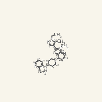 CCn1ncc(-c2nc3c(N4CCC(Nc5cccnc5N)CC4)ncnc3n2C)c1C